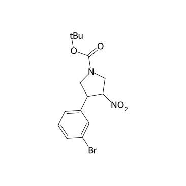 CC(C)(C)OC(=O)N1CC(c2cccc(Br)c2)C([N+](=O)[O-])C1